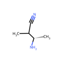 CC(C#N)[C@H](C)N